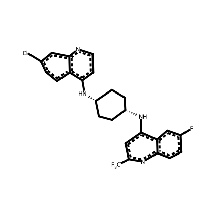 Fc1ccc2nc(C(F)(F)F)cc(N[C@H]3CC[C@@H](Nc4ccnc5cc(Cl)ccc45)CC3)c2c1